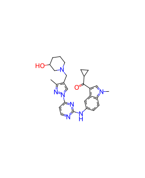 Cc1nn(-c2ccnc(Nc3ccc4c(c3)c(C(=O)C3CC3)cn4C)n2)cc1CN1CCCC(O)C1